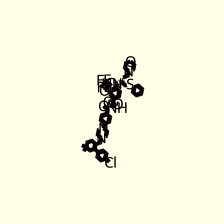 CC1(C)CCC(CN2CCN(c3ccc(C(=O)NS(=O)(=O)c4ccc(N[C@H](CCN5CCOCC5)CSc5ccccc5)c(S(=O)(=O)C(F)(F)F)c4)cc3)CC2)=C(c2ccc(Cl)cc2)C1